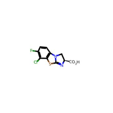 O=C(O)[C@@H]1CN2C(=N1)Sc1c2ccc(F)c1Cl